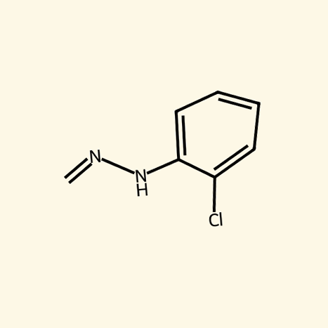 C=NNc1ccccc1Cl